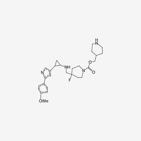 COc1ccc(-c2ncc(C3CC3NCC3(F)CCN(C(=O)OCC4CCNCC4)CC3)s2)cc1